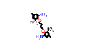 Cc1cc(N)c(OCCCCOc2c(N)cc(C)cc2[N+](=O)[O-])c([N+](=O)[O-])c1